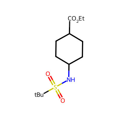 CCOC(=O)C1CCC(NS(=O)(=O)C(C)(C)C)CC1